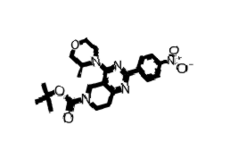 C[C@H]1COCCN1c1nc(-c2ccc([N+](=O)[O-])cc2)nc2c1CN(C(=O)OC(C)(C)C)CC2